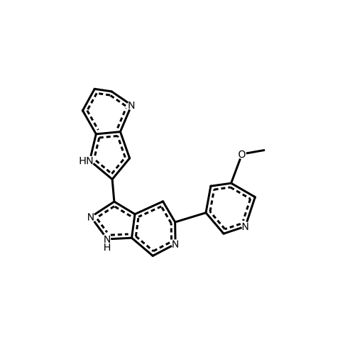 COc1cncc(-c2cc3c(-c4cc5ncccc5[nH]4)n[nH]c3cn2)c1